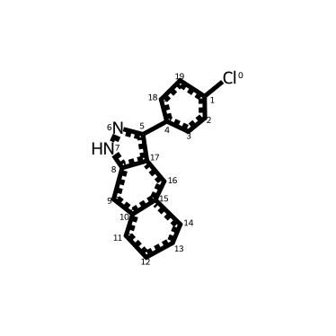 Clc1ccc(-c2n[nH]c3cc4ccccc4cc23)cc1